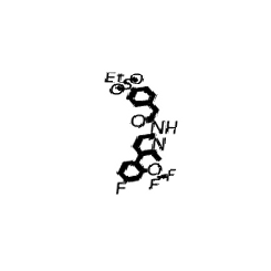 CCS(=O)(=O)c1ccc(CC(=O)Nc2ccc(-c3ccc(F)cc3OC(F)F)c(C)n2)cc1